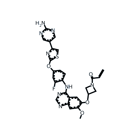 C=CC(=O)N1CC(Oc2cc3c(Nc4ccc(Oc5nc(-c6cnc(N)nc6)cs5)cc4F)ncnc3cc2OC)C1